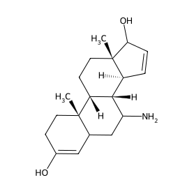 C[C@]12CCC(O)=CC1CC(N)[C@@H]1[C@H]2CC[C@]2(C)C(O)C=C[C@@H]12